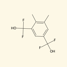 Cc1cc(C(O)(F)F)cc(C(O)(F)F)c1C